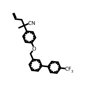 C=CCC(C)(C#N)c1ccc(OCc2cccc(-c3ccc(C(F)(F)F)cc3)c2)cc1